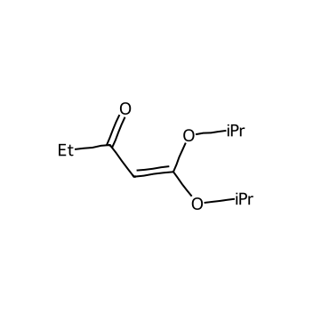 CCC(=O)C=C(OC(C)C)OC(C)C